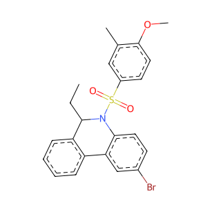 CCC1c2ccccc2-c2cc(Br)ccc2N1S(=O)(=O)c1ccc(OC)c(C)c1